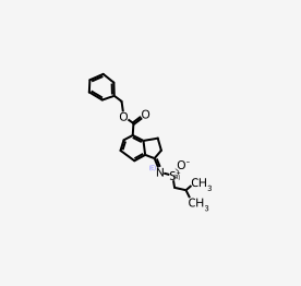 CC(C)C[S@+]([O-])/N=C1\CCc2c(C(=O)OCc3ccccc3)cccc21